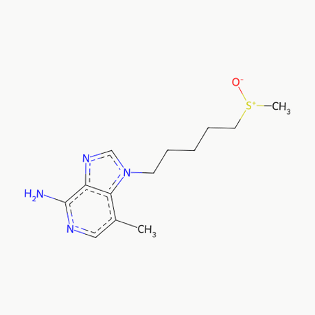 Cc1cnc(N)c2ncn(CCCCC[S+](C)[O-])c12